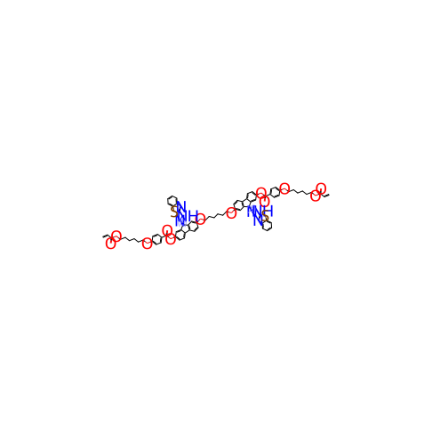 C=CC(=O)OCCCCCCOc1ccc(C(=O)Oc2ccc3c(c2)/C(=N\Nc2nc4ccccc4s2)c2cc(OCCCCCCOc4ccc5c(c4)/C(=N\Nc4nc6ccccc6s4)c4cc(OC(=O)c6ccc(OCCCCCCOC(=O)C=C)cc6)ccc4-5)ccc2-3)cc1